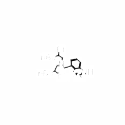 CCCCC(CC)CN(Cc1cccc2[nH]nnc12)CC(CC)CCCC